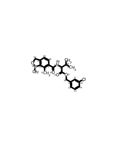 Cc1c(C(=O)NC(C(=O)OCc2cccc(Cl)c2)C(C)C)ccc2c1B(O)OC2